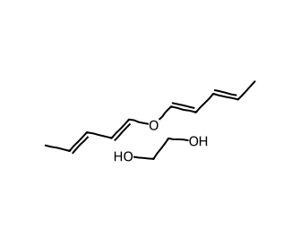 CC=CC=COC=CC=CC.OCCO